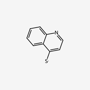 [S]c1ccnc2ccccc12